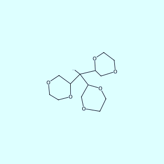 [CH2]C(C1COCCO1)(C1COCCO1)C1COCCO1